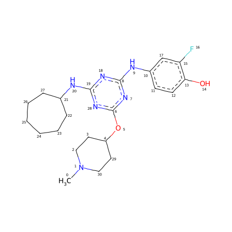 CN1CCC(Oc2nc(Nc3ccc(O)c(F)c3)nc(NC3CCCCCC3)n2)CC1